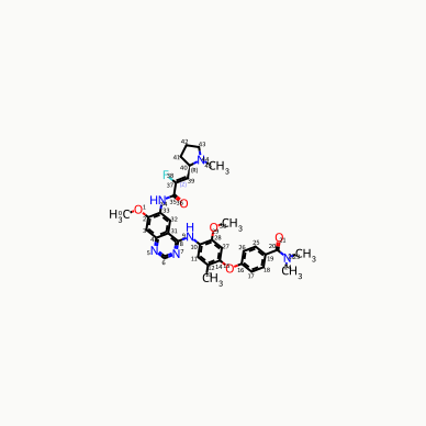 COc1cc2ncnc(Nc3cc(C)c(Oc4ccc(C(=O)N(C)C)cc4)cc3OC)c2cc1NC(=O)/C(F)=C/[C@H]1CCCN1C